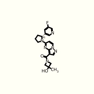 CC1(O)CN(C(=O)c2cnn3ccc(N4CCC[C@@H]4c4cncc(F)c4)nc23)C1